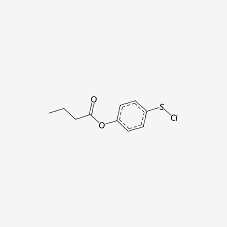 CCCC(=O)Oc1ccc(SCl)cc1